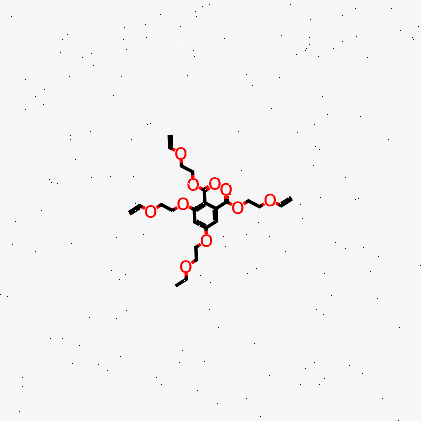 C=COCCOC(=O)c1cc(OCCOCC)cc(OCCOC=C)c1C(=O)OCCOC=C